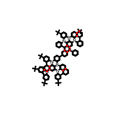 CC(C)(C)c1ccc(N2c3ccccc3B3c4cc(-c5ccc(N(c6ccccc6)c6cc7c8c(c6)N(c6ccccc6-c6ccccc6)c6cc(C(C)(C)C)ccc6B8c6ccc(C(C)(C)C)cc6N7c6ccccc6-c6ccccc6)cc5)ccc4N(c4ccc(C(C)(C)C)cc4-c4ccccc4)c4cc(-n5c6ccc(C(C)(C)C)cc6c6cc(C(C)(C)C)ccc65)cc2c43)c(-c2ccccc2)c1